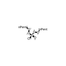 CCCCCOOP(=O)(Cl)OOCCCCC